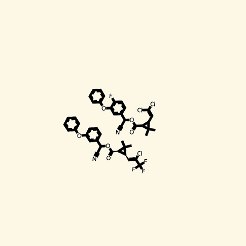 CC1(C)C(C=C(Cl)Cl)C1C(=O)OC(C#N)c1ccc(F)c(Oc2ccccc2)c1.CC1(C)[C@H](C(=O)OC(C#N)c2cccc(Oc3ccccc3)c2)[C@@H]1/C=C(\Cl)C(F)(F)F